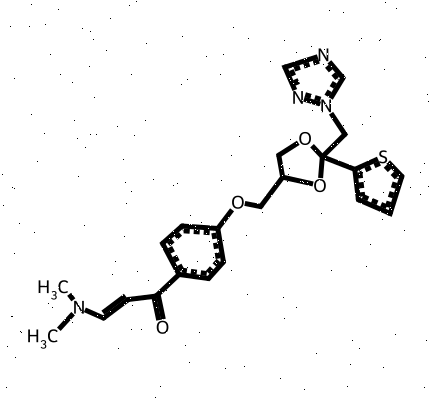 CN(C)C=CC(=O)c1ccc(OCC2COC(Cn3cncn3)(c3cccs3)O2)cc1